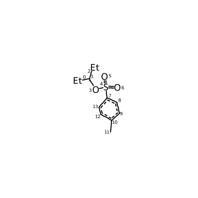 CC[C](CC)OS(=O)(=O)c1ccc(C)cc1